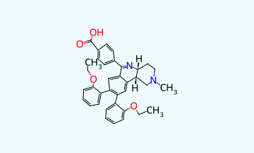 CCOc1ccccc1-c1cc2c(cc1-c1ccccc1OCC)[C@H]1CN(C)CC[C@H]1N=C2c1ccc(C(=O)O)cc1